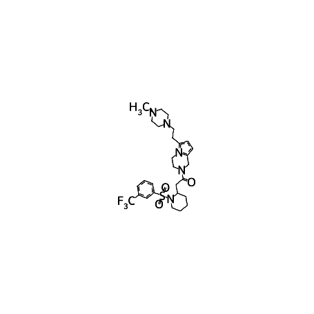 CN1CCN(CCc2ccc3n2CCN(C(=O)CC2CCCCN2S(=O)(=O)c2cccc(C(F)(F)F)c2)C3)CC1